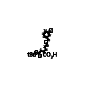 CC(C)(C)OC(=O)C[C@H](CCCOCc1cccc(Cl)c1)C(=O)O